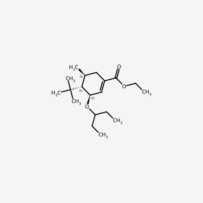 CCOC(=O)C1=C[C@@H](OC(CC)CC)[C@H](C(C)(C)C)[C@@H](C)C1